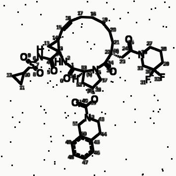 O=C1N[C@]2(C(=O)NS(=O)(=O)C3CC3)CC2C=CCCCCC[C@H](CC(=O)N2CCCC(F)(F)C2)C(=O)N2C[C@H](OC(=O)N3CCc4ccccc4C3)C[C@@H]12